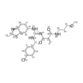 C=C(C(=O)/N=C(\NCc1ccc(Cl)cc1)Nc1ccc2nc(C)sc2c1)C(=O)NCCCOC